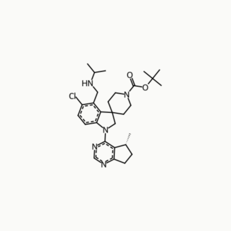 CC(C)NCc1c(Cl)ccc2c1C1(CCN(C(=O)OC(C)(C)C)CC1)CN2c1ncnc2c1[C@H](C)CC2